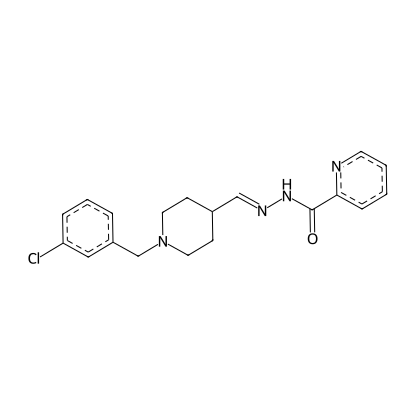 O=C(N/N=C/C1CCN(Cc2cccc(Cl)c2)CC1)c1ccccn1